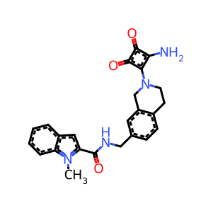 Cn1c(C(=O)NCc2ccc3c(c2)CN(c2c(N)c(=O)c2=O)CC3)cc2ccccc21